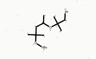 CCCCOC(C)(C)CC(C)OC(C)(C)CC(C)C